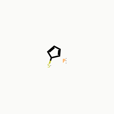 [P].[S]C1C=CC=C1